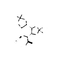 COC(=O)[C@@H](N=[N+]=[N-])C1OC(C)(C)OC1[C@H]1COC(C)(C)O1